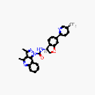 Cc1nc2ccccc2c2c1c(C)nn2C(=O)N[C@@H]1COc2cc(-c3ccc(C(F)(F)F)cn3)ccc21